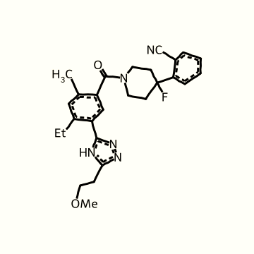 CCc1cc(C)c(C(=O)N2CCC(F)(c3ccccc3C#N)CC2)cc1-c1nnc(CCOC)[nH]1